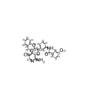 COc1cccc(C(=O)Nc2cccc([C@@H](Oc3cc(Cl)cnc3N)C(=O)OCc3ccccc3)c2)c1